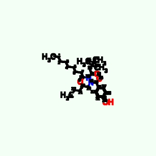 CCCCCCCCC(=O)N(C(=O)[CH2][Sn]([CH3])([CH3])[CH3])N(CCCCC)C(=O)c1ccc(O)cc1